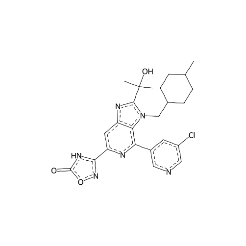 CC1CCC(Cn2c(C(C)(C)O)nc3cc(-c4noc(=O)[nH]4)nc(-c4cncc(Cl)c4)c32)CC1